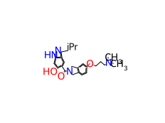 CC(C)Cc1n[nH]c2cc(O)c(C(=O)N3Cc4ccc(OCCCN(C)C)cc4C3)cc12